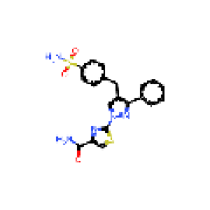 NC(=O)c1csc(-n2cc(Cc3ccc(S(N)(=O)=O)cc3)c(-c3ccccc3)n2)n1